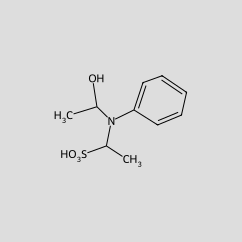 CC(O)N(c1ccccc1)C(C)S(=O)(=O)O